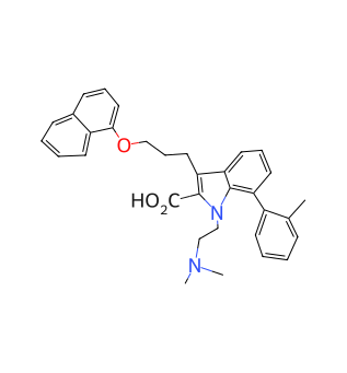 Cc1ccccc1-c1cccc2c(CCCOc3cccc4ccccc34)c(C(=O)O)n(CCN(C)C)c12